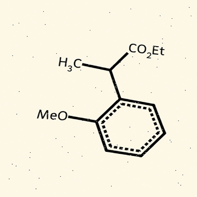 CCOC(=O)C(C)c1ccccc1OC